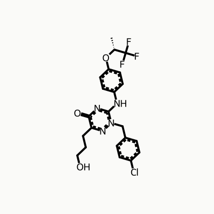 C[C@@H](Oc1ccc(Nc2nc(=O)c(CCCO)nn2Cc2ccc(Cl)cc2)cc1)C(F)(F)F